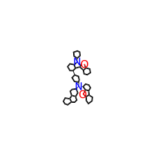 c1ccc(-n2c3cccc(-c4ccc(N(c5ccc6c(ccc7ccccc76)c5)c5cccc6c5oc5ccccc56)cc4)c3c3c4ccccc4oc32)cc1